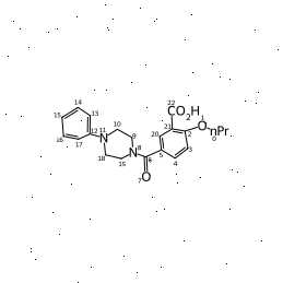 CCCOc1ccc(C(=O)N2CCN(c3ccccc3)CC2)cc1C(=O)O